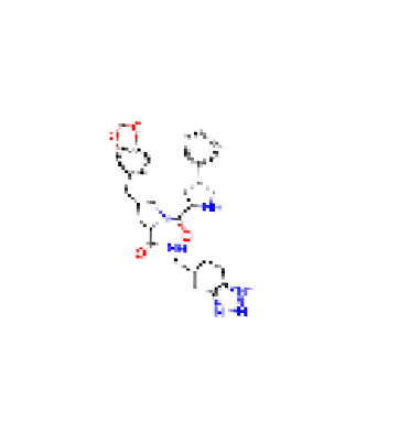 Cn1nnc2c1CCC(CNC(=O)C1CC(Cc3ccc4c(c3)OCO4)CN1C(=O)C1CC(c3ccccc3)CN1)=C2